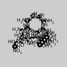 CCC(C)CCCC(=O)N[C@@H](CCN)C(=O)N[C@H](C(=O)N[C@@H](CCN)C(=O)N[C@H]1CCNC(=O)[C@H]([C@@H](C)O)NC(=O)[C@H](CCN)NC(=O)[C@H](CCN)NC(=O)[C@H](CC(C)C)NC(=O)[C@@H](CC(C)C)NC(=O)[C@H](CCN)NC1=O)[C@@H](C)O.CN(C)[C@@H]1C(O)=C(C(N)=O)C(=O)[C@@]2(O)C(O)=C3C(=O)c4c(O)cccc4[C@@](C)(O)[C@H]3C[C@@H]12.O=C(N[C@H](CO)[C@H](O)c1ccc([N+](=O)[O-])cc1)C(Cl)Cl